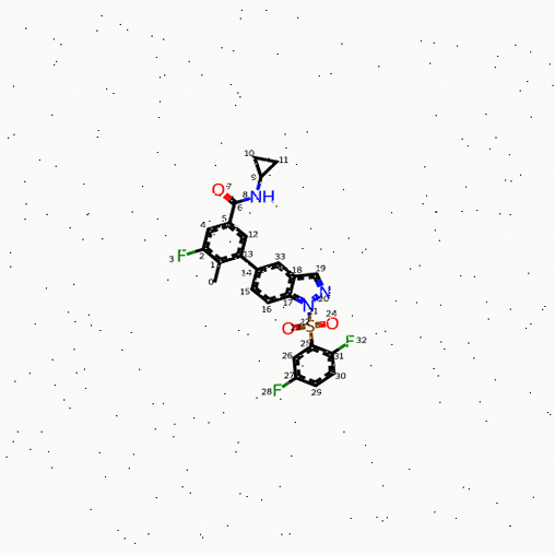 Cc1c(F)cc(C(=O)NC2CC2)cc1-c1ccc2c(cnn2S(=O)(=O)c2cc(F)ccc2F)c1